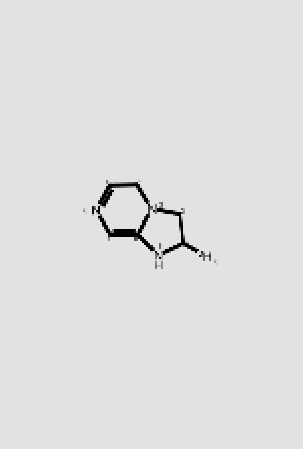 [2H]C1CN2CC=NC=C2N1